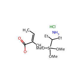 CC=C(C)C([O])=O.CCC(CC)[Si](OC)(OC)OC.Cl.N